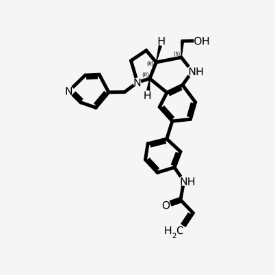 C=CC(=O)Nc1cccc(-c2ccc3c(c2)[C@H]2[C@H](CCN2Cc2ccncc2)[C@@H](CO)N3)c1